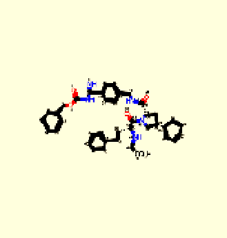 N=C(NC(=O)OCc1ccccc1)c1ccc(CNC(=O)[C@@H]2C[C@H](c3ccccc3)CN2C(=O)[C@@H](CCc2ccccc2)NCC(=O)O)cc1